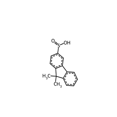 CC1(C)c2ccccc2-c2cc(S(=O)O)ccc21